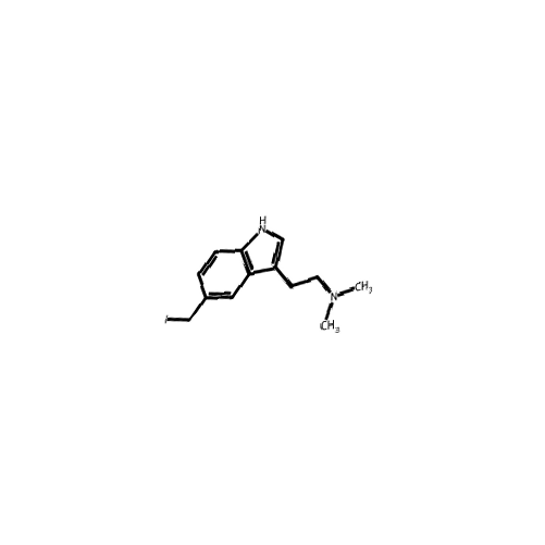 CN(C)CCc1c[nH]c2ccc(CI)cc12